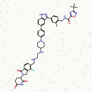 Cc1cc(-c2n[nH]c3ccc(-c4ccc(N5CCC(NCCNCc6ccc7c(c6F)CN(C6CCC(=O)NC6=O)C7=O)CC5)cc4)cc23)ccc1CNC(=O)c1nc(C(C)(C)C)no1